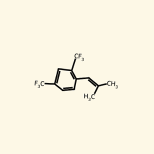 CC(C)=Cc1ccc(C(F)(F)F)cc1C(F)(F)F